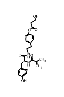 C=C(C)C(=O)N[C@@H](Cc1ccc(O)cc1)C(=O)NCCc1ccc(OC(=O)CCO)cc1